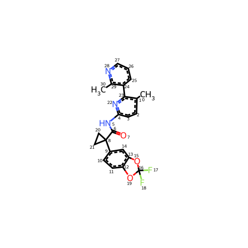 Cc1ccc(NC(=O)C2(c3ccc4c(c3)OC(F)(F)O4)CC2)nc1-c1cccnc1C